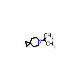 C=C(C)N1CCC2(CC1)CC2